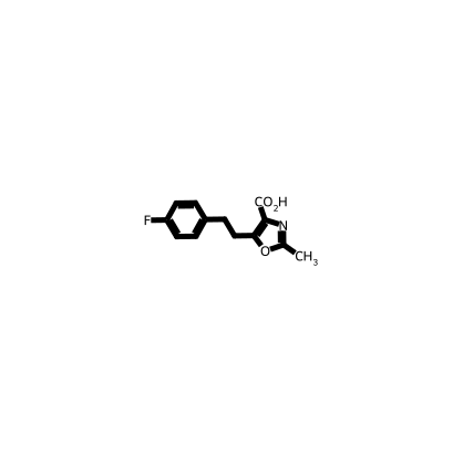 Cc1nc(C(=O)O)c(CCc2ccc(F)cc2)o1